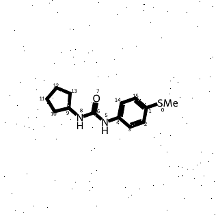 CSc1ccc(NC(=O)NC2CCCC2)cc1